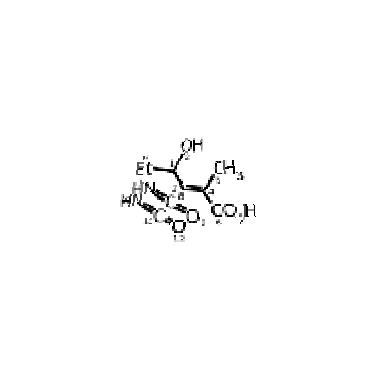 CCC(O)C=C(C)C(=O)O.N=C=O.N=C=O